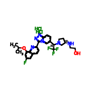 CC(C)Oc1cc(F)cc2ccc(-c3nnc4ccc([C@@H](N5CC[C@H](NCCO)C5)C(F)(F)F)cn34)nc12.Cl.Cl